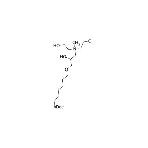 CCCCCCCCCCCCCCCCOCC(O)C[N+](C)(CCO)CCO